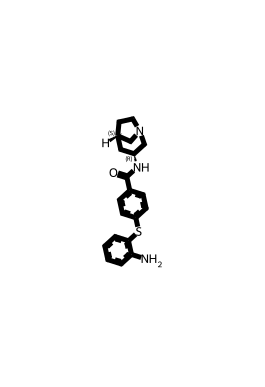 Nc1ccccc1Sc1ccc(C(=O)N[C@@H]2C[C@@H]3CCN(C3)C2)cc1